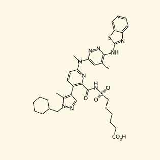 Cc1cc(N(C)c2ccc(-c3cnn(CC4CCCCC4)c3C)c(C(=O)NS(=O)(=O)CCCCCC(=O)O)n2)nnc1Nc1nc2ccccc2s1